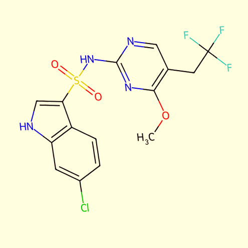 COc1nc(NS(=O)(=O)c2c[nH]c3cc(Cl)ccc23)ncc1CC(F)(F)F